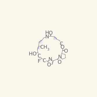 CC1=C\C(O)CC(F)Cc2nc(co2)C(=O)N2CCCC2C(=O)OCC/C=C/C(=O)NC\C=C\1